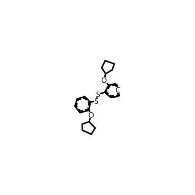 c1ccc(SSc2ccccc2OC2CCCC2)c(OC2CCCC2)c1